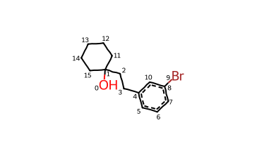 OC1(CCc2cccc(Br)c2)CCCCC1